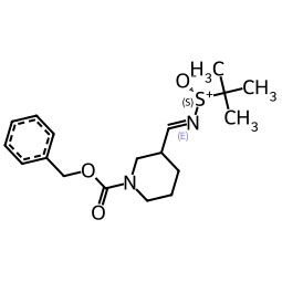 CC(C)(C)[S@@+]([O-])/N=C/C1CCCN(C(=O)OCc2ccccc2)C1